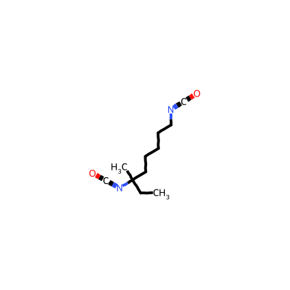 CCC(C)(CCCCCN=C=O)N=C=O